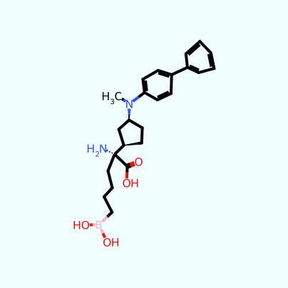 CN(c1ccc(-c2ccccc2)cc1)[C@H]1CC[C@@H]([C@](N)(CCCCB(O)O)C(=O)O)C1